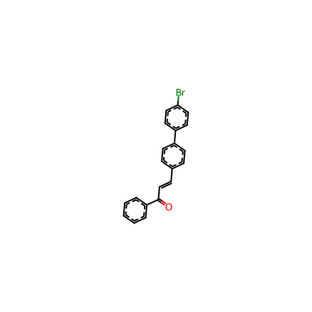 O=C(C=Cc1ccc(-c2ccc(Br)cc2)cc1)c1ccccc1